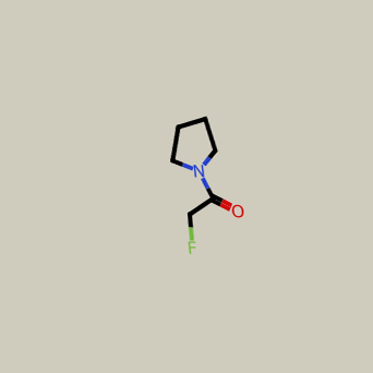 O=C(CF)N1CCCC1